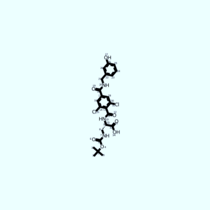 CC(C)(C)OC(=O)NC[C@H](NC(=O)c1c(Cl)cc(C(=O)NCc2cccc(O)c2)cc1Cl)C(=O)O